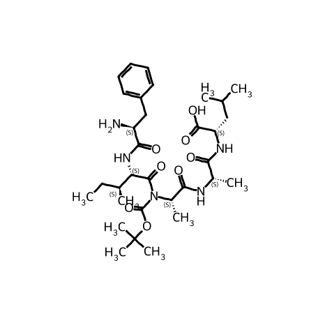 CC[C@H](C)[C@H](NC(=O)[C@@H](N)Cc1ccccc1)C(=O)N(C(=O)OC(C)(C)C)[C@@H](C)C(=O)N[C@@H](C)C(=O)N[C@@H](CC(C)C)C(=O)O